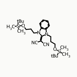 CC(C)(C)[Si](C)(C)OCCCN1C(=C(C#N)C#N)N(CCCO[Si](C)(C)C(C)(C)C)c2ccccc21